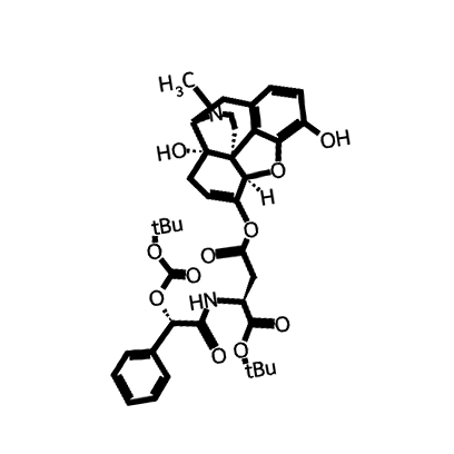 CN1CC[C@]23c4c5ccc(O)c4O[C@H]2C(OC(=O)C[C@H](NC(=O)[C@@H](OC(=O)OC(C)(C)C)c2ccccc2)C(=O)OC(C)(C)C)=CC[C@@]3(O)C1C5